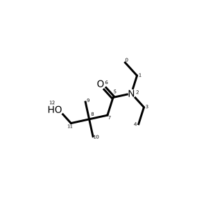 CCN(CC)C(=O)CC(C)(C)CO